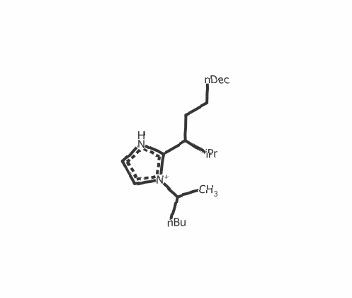 CCCCCCCCCCCCC(c1[nH]cc[n+]1C(C)CCCC)C(C)C